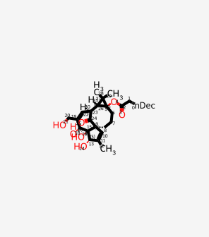 CCCCCCCCCCCC(=O)O[C@@]12CCC[C@]34C=C(C)[C@H](O)[C@@]3(O)[C@H](O)C(CO)=C[C@H](C4=O)[C@@H]1C2(C)C